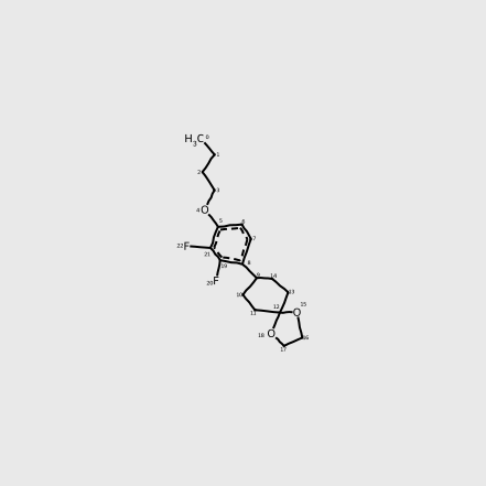 CCCCOc1ccc(C2CCC3(CC2)OCCO3)c(F)c1F